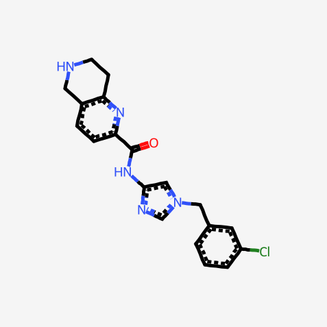 O=C(Nc1cn(Cc2cccc(Cl)c2)cn1)c1ccc2c(n1)CCNC2